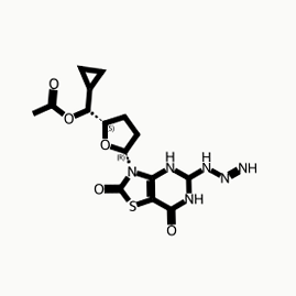 CC(=O)OC(C1CC1)[C@@H]1CC[C@H](n2c3c(sc2=O)C(=O)NC(NN=N)N3)O1